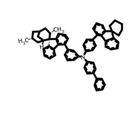 C[C@@H]1CC2C[C@@H](C1)[C@@]1(c3ccccc3-c3c(-c4cccc(N(c5ccc(-c6ccccc6)cc5)c5ccc(-c6cccc7c6-c6ccccc6C76CCCCC6)cc5)c4)cccc31)[C@@H](C)C2